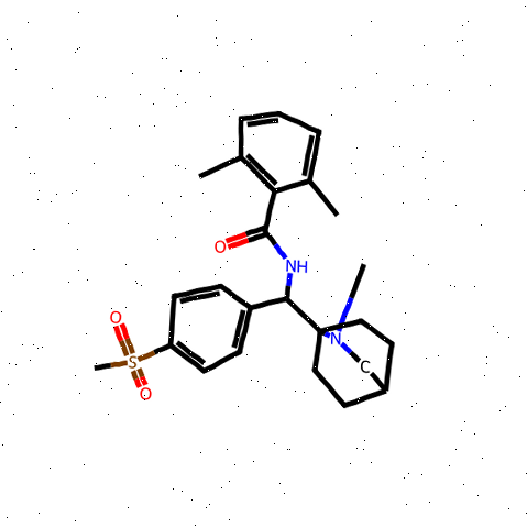 Cc1cccc(C)c1C(=O)NC(c1ccc(S(C)(=O)=O)cc1)C12CCC(CC1)CN2C